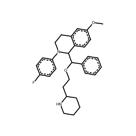 COc1ccc2c(c1)CCN(c1ccc(F)cc1)C2C(OCCC1CCCCN1)c1ccccc1